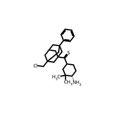 CC1(C)CC(C(=S)C23CC4CC(CCl)(C2)CC(c2ccccc2)(C4)C3)CC[C@@H]1N